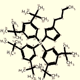 CCCCC1=C[C]([Si](c2cc(C(C)(C)C)cc(C(C)(C)C)c2)(c2cc(C(C)(C)C)cc(C(C)(C)C)c2)c2cc(C(C)(C)C)cc(C(C)(C)C)c2)C=C1